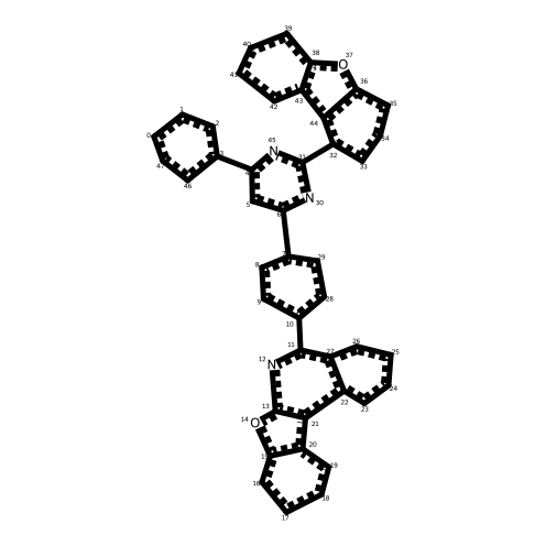 c1ccc(-c2cc(-c3ccc(-c4nc5oc6ccccc6c5c5ccccc45)cc3)nc(-c3cccc4oc5ccccc5c34)n2)cc1